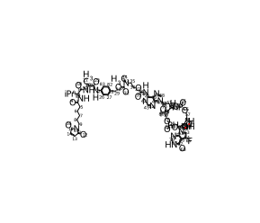 CC(C)[C@H](NC(=O)CCCCCN1C(=O)C=CC1=O)C(=O)N[C@@H](C)C(=O)Nc1ccc(COC(=O)N(C)CCOC(=O)Nc2ncnc3c2ncn3[C@H]2C[C@@H]3O[PH](=O)OC[C@H]4OC[C@](n5cc(F)c6c(=O)[nH]cnc65)(O[PH](=O)OC[C@H]3O2)[C@@H]4O)cc1